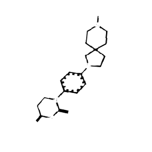 CN1CCC2(CC1)CCN(c1ccc(N3CCC(=O)NC3=O)cc1)C2